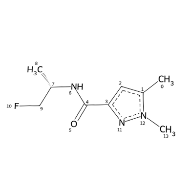 Cc1cc(C(=O)N[C@@H](C)CF)nn1C